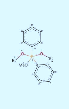 CCOP(OC)(OCC)(c1ccccc1)c1ccccc1